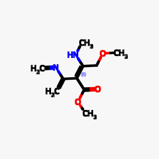 C=NC(=C)/C(C(=O)OC)=C(/COC)NC